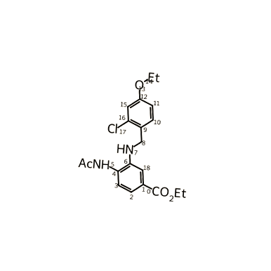 CCOC(=O)c1ccc(NC(C)=O)c(NCc2ccc(OCC)cc2Cl)c1